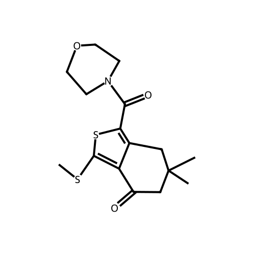 CSc1sc(C(=O)N2CCOCC2)c2c1C(=O)CC(C)(C)C2